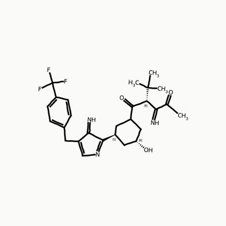 CC(=O)C(=N)[C@H](C(=O)C1C[C@H](O)C[C@@H](C2=NC=C(Cc3ccc(C(F)(F)F)cc3)C2=N)C1)C(C)(C)C